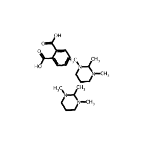 CC1N(C)CCCN1C.CC1N(C)CCCN1C.O=C(O)c1ccccc1C(=O)O